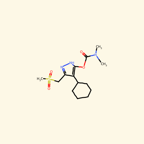 CN(C)C(=O)Oc1[nH]nc(CS(C)(=O)=O)c1C1CCCCC1